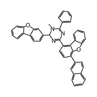 CN1C(c2ccccc2)=NC(c2ccc(-c3ccc4ccccc4c3)c3oc4ccccc4c23)=NC1c1ccc2c(c1)oc1ccccc12